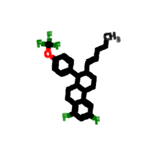 CCCC=CC1CCC2c3cc(F)cc(F)c3CCC2C1c1ccc(OC(F)(F)F)cc1